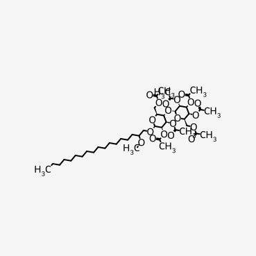 CCCCCCCCCCCCCCCCC(CO[C@H]1O[C@@H](COC(C)=O)[C@H](O[C@H]2O[C@H](COC(C)=O)[C@H](OC(C)=O)[C@H](OC(C)=O)[C@H]2OC(C)=O)[C@@H](OC(C)=O)[C@@H]1OC(C)=O)OC